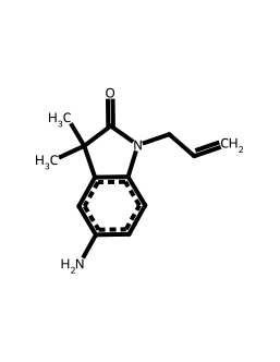 C=CCN1C(=O)C(C)(C)c2cc(N)ccc21